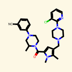 Cc1c(CN2CCN(c3ncccc3Cl)CC2)cc(C(=O)N2CCN(c3cccc(C#N)c3)CC2C)n1C